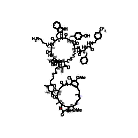 COc1cc2cc(c1Cl)N(C)C(=O)C[C@H](OC(=O)[C@H](C)N(C)C(=O)CCSSC[C@H](NC(=O)[C@@H]1CSSC[C@H](NC(=O)[C@@H](Cc3ccccc3)NC(=O)NCc3ccc(C(F)(F)F)cc3)C(=O)N[C@@H](Cc3ccc(O)cc3)C(=O)N[C@H](Cc3c[nH]c4ccccc34)C(=O)N[C@@H](CCCCN)C(=O)N[C@@H]([C@@H](C)O)C(=O)N1)C(N)=O)[C@]1(C)OC1[C@H](C)[C@@H]1C[C@@](O)(NC(=O)O1)[C@H](OC)/C=C/C=C(\C)C2